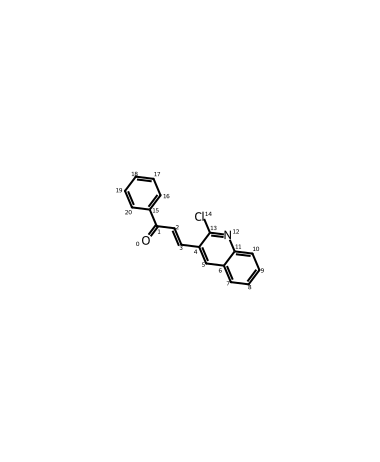 O=C(C=Cc1cc2ccccc2nc1Cl)c1ccccc1